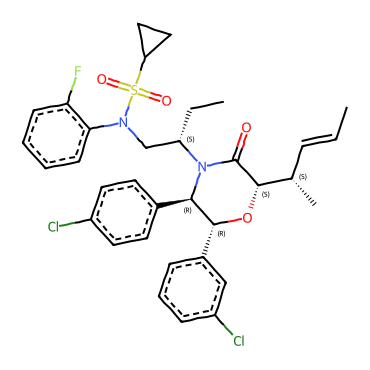 CC=C[C@H](C)[C@@H]1O[C@H](c2cccc(Cl)c2)[C@@H](c2ccc(Cl)cc2)N([C@@H](CC)CN(c2ccccc2F)S(=O)(=O)C2CC2)C1=O